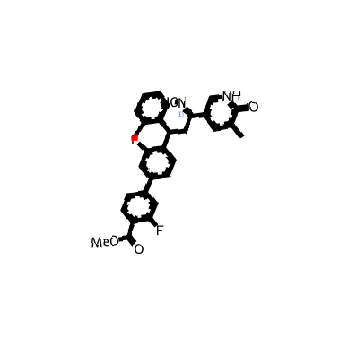 COC(=O)c1ccc(-c2ccc(C(C/C(=N\O)c3c[nH]c(=O)c(C)c3)c3ccccc3C)c(F)c2)cc1F